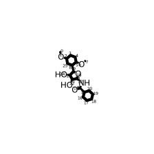 COc1ccc(OC)c(-c2oc(NC(=O)c3ccccc3)c(O)c2O)c1